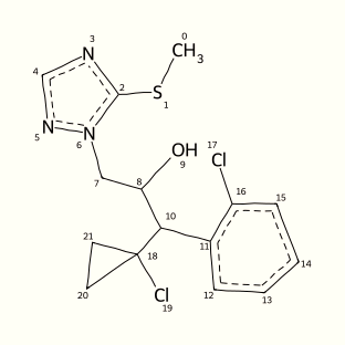 CSc1ncnn1CC(O)C(c1ccccc1Cl)C1(Cl)CC1